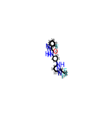 O=C(NC1CCC(Nc2cccc3nc(C(F)(F)F)cn23)CC1)c1[nH]nc2cccc(F)c12